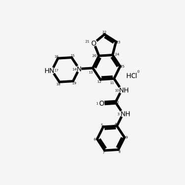 Cl.O=C(Nc1ccccc1)Nc1cc(N2CCNCC2)c2occc2c1